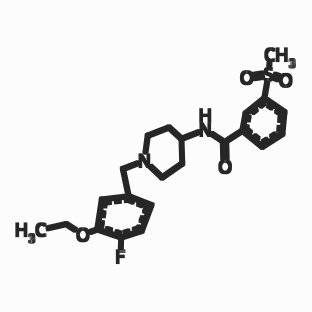 CCOc1cc(CN2CCC(NC(=O)c3cccc(S(C)(=O)=O)c3)CC2)ccc1F